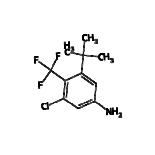 CC(C)(C)c1cc(N)cc(Cl)c1C(F)(F)F